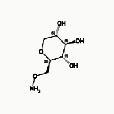 NOC[C@H]1OC[C@H](O)[C@@H](O)[C@@H]1O